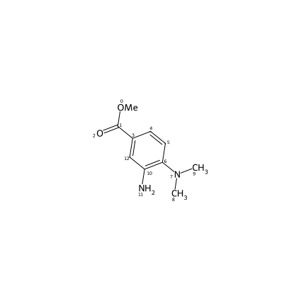 COC(=O)c1ccc(N(C)C)c(N)c1